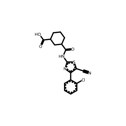 N#Cc1sc(NC(=O)C2CCCC(C(=O)O)C2)nc1-c1ccccc1Cl